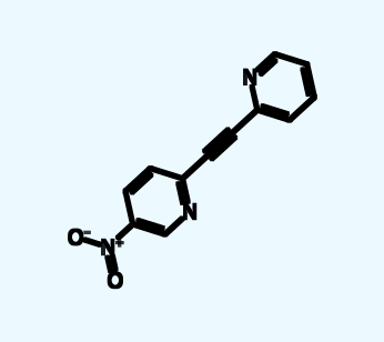 O=[N+]([O-])c1ccc(C#Cc2ccccn2)nc1